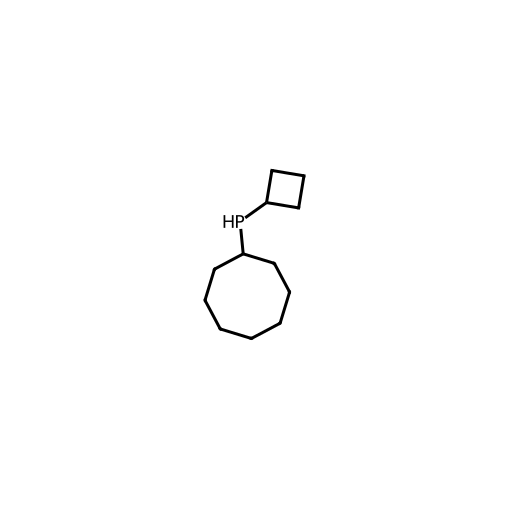 C1CCCC(PC2CCC2)CCC1